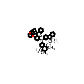 CC1(C)CCC(C)(C)c2cc(N(c3ccc4c(c3)C(C)(C)c3ccccc3-4)c3ccc(-c4ccccc4)c4c3Sc3ccccc3C43C4CC5CC6CC3C64C5)ccc21